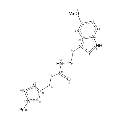 COc1ccc2[nH]cc(CCNC(=O)CCc3cn(C(C)C)nn3)c2c1